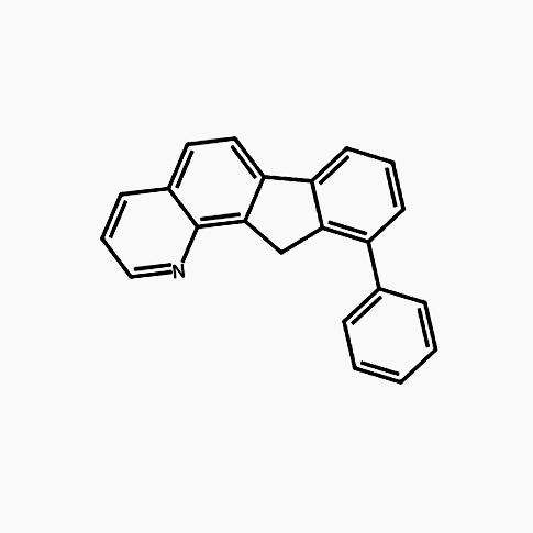 c1ccc(-c2cccc3c2Cc2c-3ccc3cccnc23)cc1